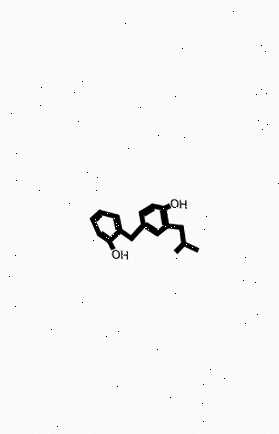 CC(C)Cc1cc(Cc2ccccc2O)ccc1O